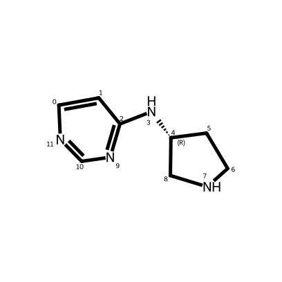 c1cc(N[C@@H]2CCNC2)ncn1